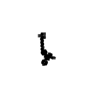 CC(C)n1cnc2c(-c3ccc(COCCCCCC(=O)NO)cc3)nc(N3CCOCC3)nc21